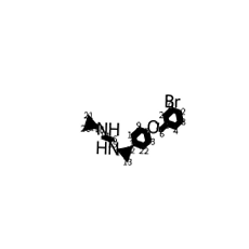 Brc1cccc(COc2ccc([C@@H]3C[C@H]3NCCNC3CC3)cc2)c1